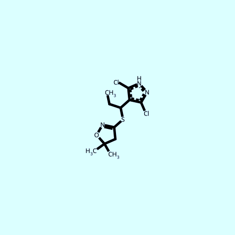 CCC(SC1=NOC(C)(C)C1)c1c(Cl)n[nH]c1Cl